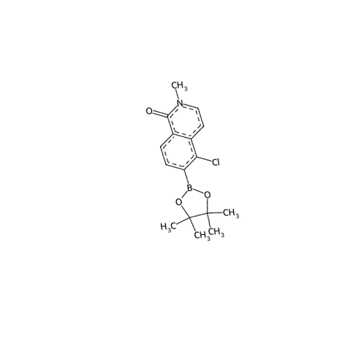 Cn1ccc2c(Cl)c(B3OC(C)(C)C(C)(C)O3)ccc2c1=O